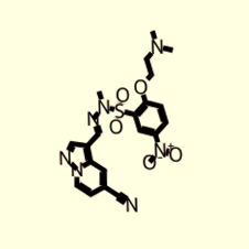 CN(C)CCOc1ccc([N+](=O)[O-])cc1S(=O)(=O)N(C)N=Cc1cnn2ccc(C#N)cc12